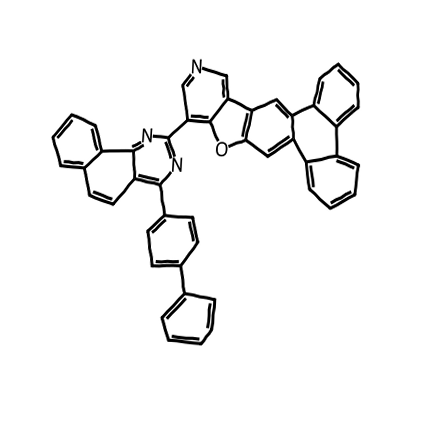 c1ccc(-c2ccc(-c3nc(-c4cncc5c4oc4cc6c7ccccc7c7ccccc7c6cc45)nc4c3ccc3ccccc34)cc2)cc1